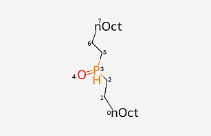 CCCCCCCCCC[PH](=O)CCCCCCCCCC